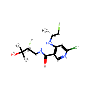 C[C@H](CF)Nc1cc(Cl)ncc1C(=O)NC[C@@H](F)C(C)(C)O